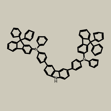 c1ccc(N(c2ccc(-c3ccc4[nH]c5ccc(-c6ccc(N(c7ccccc7)c7ccc8c(c7)C(c7ccccc7)(c7ccccc7)c7ccccc7-8)cc6)cc5c4c3)cc2)c2ccc3c(c2)C(c2ccccc2)(c2ccccc2)c2ccccc2-3)cc1